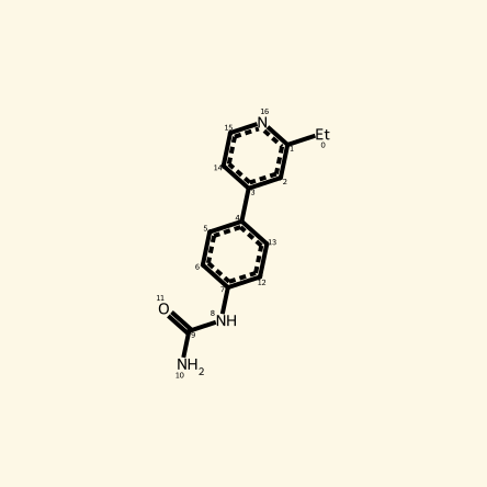 CCc1cc(-c2ccc(NC(N)=O)cc2)ccn1